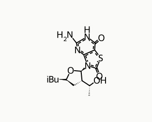 CC[C@H](C)[C@@H]1C[C@@H]([C@@H](C)O)[C@H](n2c(=O)sc3c(=O)[nH]c(N)nc32)O1